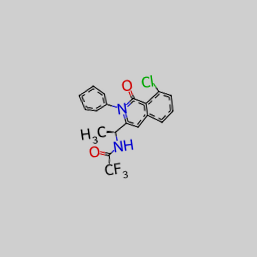 C[C@H](NC(=O)C(F)(F)F)c1cc2cccc(Cl)c2c(=O)n1-c1ccccc1